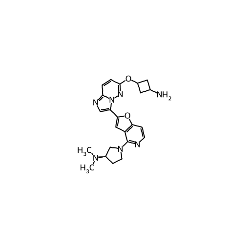 CN(C)[C@@H]1CCN(c2nccc3oc(-c4cnc5ccc(OC6CC(N)C6)nn45)cc23)C1